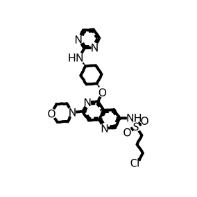 O=S(=O)(CCCCl)Nc1cnc2cc(N3CCOCC3)nc(O[C@H]3CC[C@@H](Nc4ncccn4)CC3)c2c1